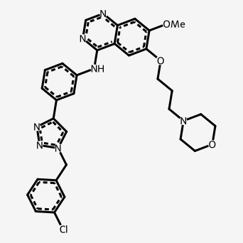 COc1cc2ncnc(Nc3cccc(-c4cn(Cc5cccc(Cl)c5)nn4)c3)c2cc1OCCCN1CCOCC1